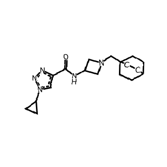 O=C(NC1CN(CC23CCC(CC2)CC3)C1)c1cn(C2CC2)nn1